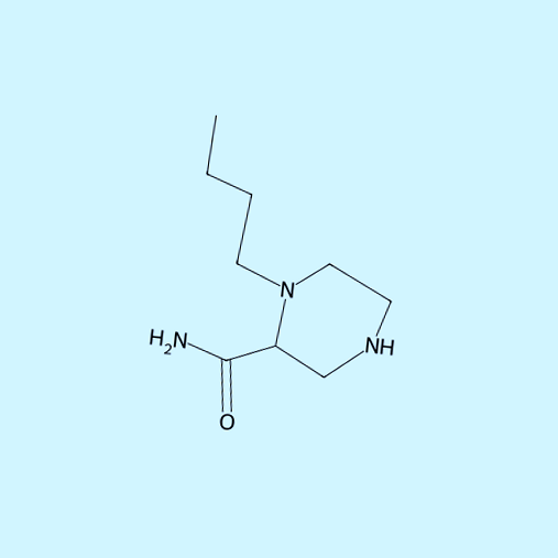 CCCCN1CCNCC1C(N)=O